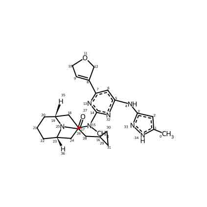 Cc1cc(Nc2cc(C3=CCOC3)nc(N(C)C3C[C@H]4CCC[C@@H](C3)N4C(=O)CC3CC3)n2)n[nH]1